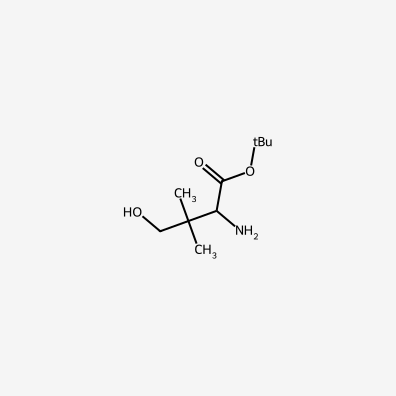 CC(C)(C)OC(=O)C(N)C(C)(C)CO